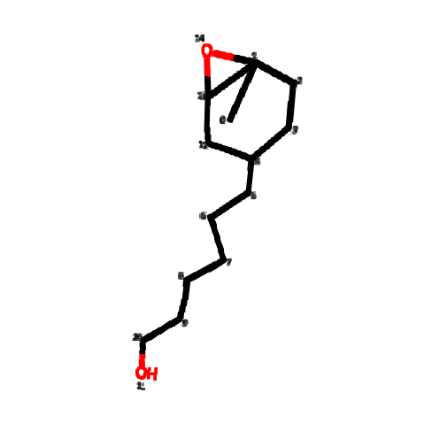 CC12CCC(CCCCCCO)CC1O2